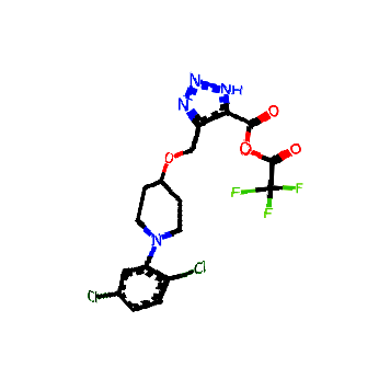 O=C(OC(=O)C(F)(F)F)c1[nH]nnc1COC1CCN(c2cc(Cl)ccc2Cl)CC1